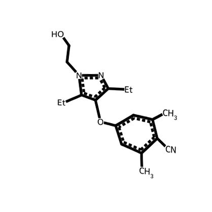 CCc1nn(CCO)c(CC)c1Oc1cc(C)c(C#N)c(C)c1